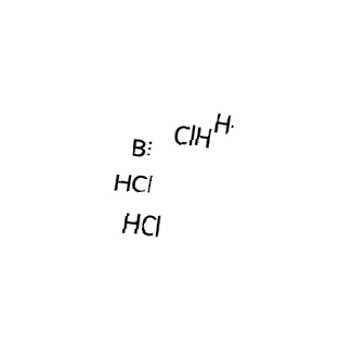 Cl.Cl.Cl.[B].[H]